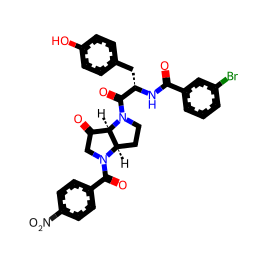 O=C(N[C@@H](Cc1ccc(O)cc1)C(=O)N1CC[C@@H]2[C@H]1C(=O)CN2C(=O)c1ccc([N+](=O)[O-])cc1)c1cccc(Br)c1